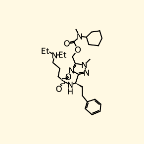 CCN(CC)CCCS(=O)(=O)N[C@H](CCc1ccccc1)c1nc(COC(=O)N(C)C2CCCCC2)n(C)n1